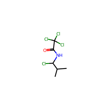 CC(C)C(Cl)NC(=O)C(Cl)(Cl)Cl